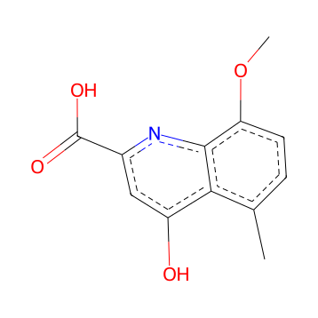 COc1ccc(C)c2c(O)cc(C(=O)O)nc12